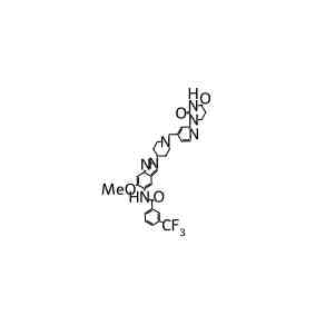 COc1cc2nn(C3CCN(Cc4ccnc(N5CCC(=O)NC5=O)c4)CC3)cc2cc1NC(=O)c1cccc(C(F)(F)F)c1